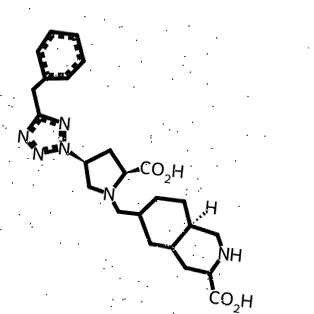 O=C(O)C1CC2CC(CN3C[C@@H](n4nnc(Cc5ccccc5)n4)C[C@H]3C(=O)O)CC[C@H]2CN1